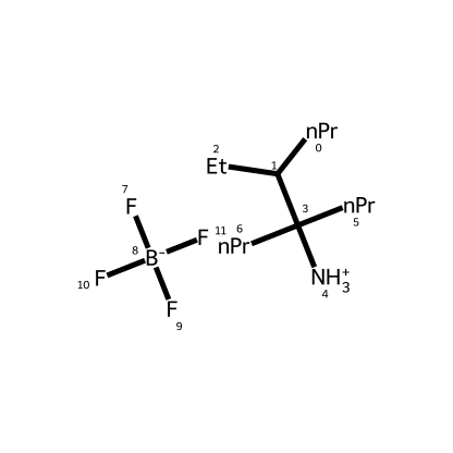 CCCC(CC)C([NH3+])(CCC)CCC.F[B-](F)(F)F